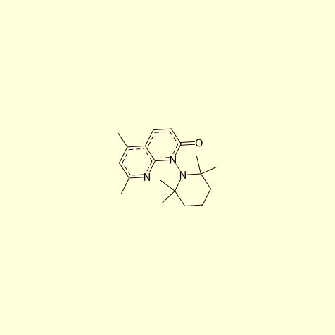 Cc1cc(C)c2ccc(=O)n(N3C(C)(C)CCCC3(C)C)c2n1